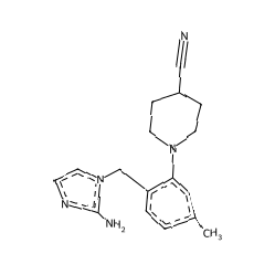 Cc1ccc(Cn2ccnc2N)c(N2CCC(C#N)CC2)c1